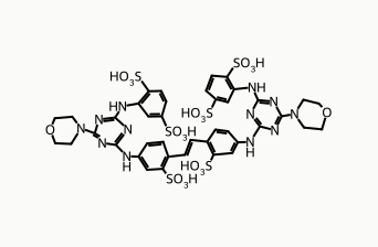 O=S(=O)(O)c1ccc(S(=O)(=O)O)c(Nc2nc(Nc3ccc(C=Cc4ccc(Nc5nc(Nc6cc(S(=O)(=O)O)ccc6S(=O)(=O)O)nc(N6CCOCC6)n5)cc4S(=O)(=O)O)c(S(=O)(=O)O)c3)nc(N3CCOCC3)n2)c1